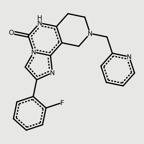 O=c1[nH]c2c(c3nc(-c4ccccc4F)cn13)CN(Cc1ccccn1)CC2